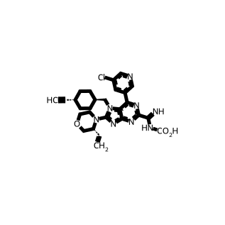 C#C[C@H]1CC[C@H](Cn2c(N3CCOC[C@H]3C=C)nc3nc(C(=N)NC(=O)O)nc(-c4cncc(Cl)c4)c32)CC1